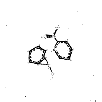 O=[N+]([O-])c1ccccn1.[O-][S+]1c2ccccc21